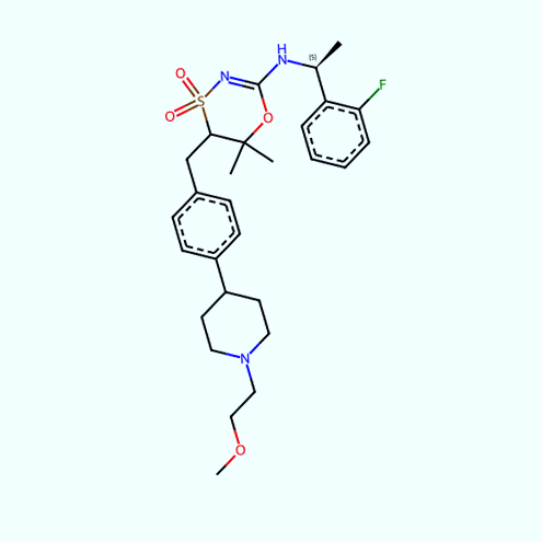 COCCN1CCC(c2ccc(CC3C(C)(C)OC(N[C@@H](C)c4ccccc4F)=NS3(=O)=O)cc2)CC1